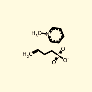 C=CCCS(=O)(=O)[O-].C[n+]1ccccc1